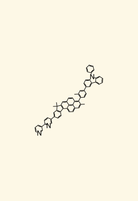 Cc1cc(-c2ccc3c(c2)c2ccccc2n3-c2ccccc2)ccc1-c1c(C)cc2ccc3c4c(cc5ccc1c2c53)C(C)(C)c1cc(-c2ccc(-c3cccnc3)nc2)ccc1-4